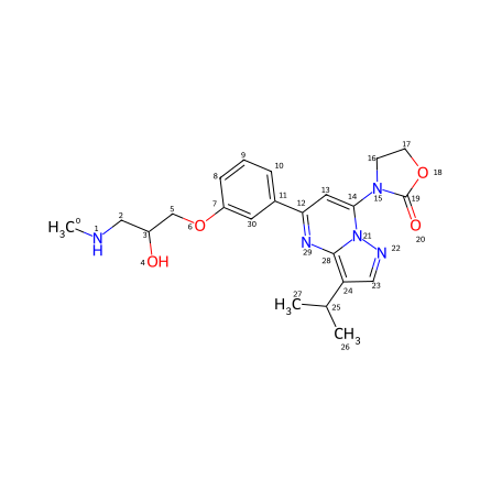 CNCC(O)COc1cccc(-c2cc(N3CCOC3=O)n3ncc(C(C)C)c3n2)c1